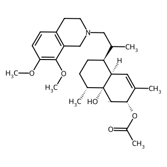 COc1ccc2c(c1OC)CN(CC(C)[C@@H]1CC[C@@H](C)[C@]3(O)[CH][C@@H](OC(C)=O)C(C)=C[C@H]13)CC2